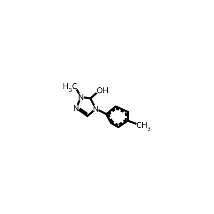 Cc1ccc(N2C=NN(C)C2O)cc1